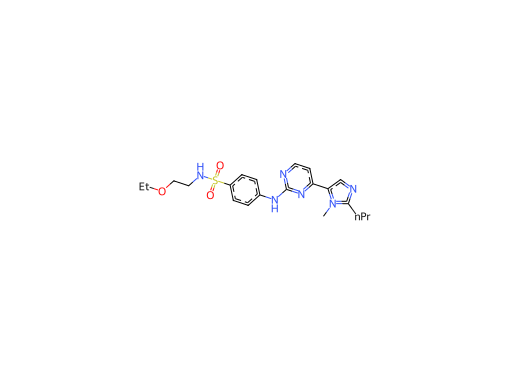 CCCc1ncc(-c2ccnc(Nc3ccc(S(=O)(=O)NCCOCC)cc3)n2)n1C